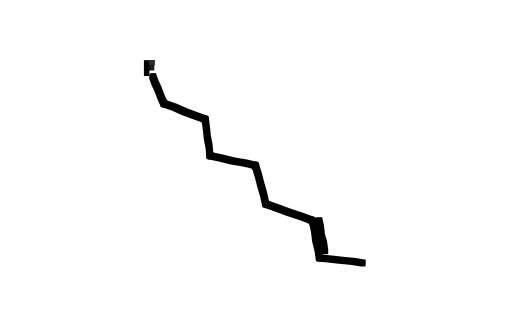 CC=CCCCCCF